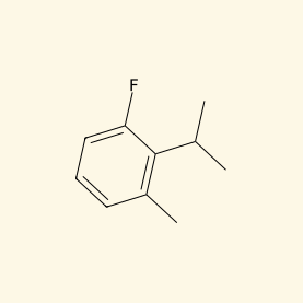 Cc1cccc(F)c1C(C)C